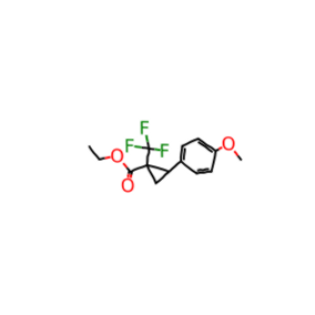 CCOC(=O)C1(C(F)(F)F)CC1c1ccc(OC)cc1